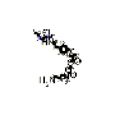 CC/C=C\C(Cl)=C(\C)NCCc1ccc(OC(C)(C)C(=O)OCOC(=O)N(C)CCCN)cc1